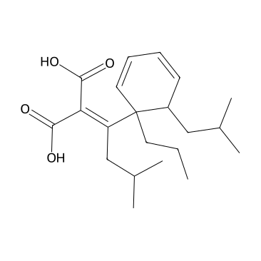 CCCC1(C(CC(C)C)=C(C(=O)O)C(=O)O)C=CC=CC1CC(C)C